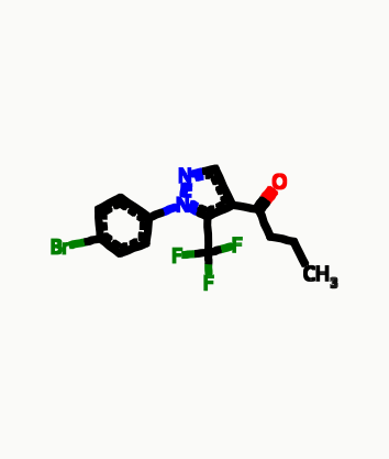 CCCC(=O)c1cnn(-c2ccc(Br)cc2)c1C(F)(F)F